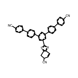 N#Cc1ccc(-c2ccc(-c3cc(-c4ccc(-c5ccc(C#N)cc5)cc4)cc(-c4nc5c(s4)CC(C#N)C=C5)c3)cc2)cc1